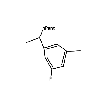 CCCCCC(C)c1cc(C)cc(F)c1